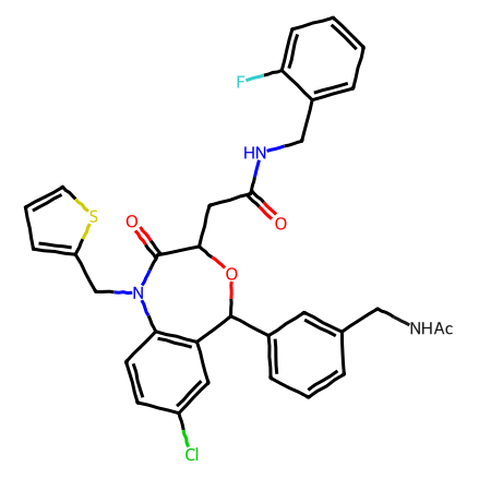 CC(=O)NCc1cccc(C2OC(CC(=O)NCc3ccccc3F)C(=O)N(Cc3cccs3)c3ccc(Cl)cc32)c1